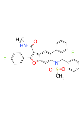 CNC(=O)c1c(-c2ccc(F)cc2)oc2cc(N(Cc3ccccc3F)S(C)(=O)=O)c(-c3ccccc3)cc12